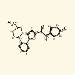 CN1CCN(c2ccccc2-c2ccc(C(=O)Nc3ccc(Cl)cc3)o2)CC1